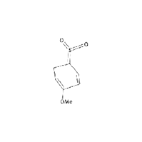 COC1=CCC(=S(=O)=O)C=C1